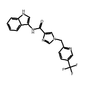 O=C(Nc1c[nH]c2ccccc12)c1cn(Cc2ccc(C(F)(F)F)cn2)cn1